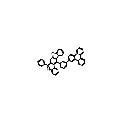 c1ccc(-c2nc3ccccc3c3c(-c4cccc(-c5ccc6c7ccccc7c7ccccc7c6c5)c4)c4c(cc23)oc2ccccc24)cc1